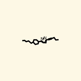 CCCC#Cc1ccc(C2CCC(CCCCC)CC2)nn1